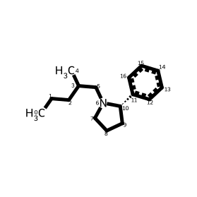 CCCC(C)CN1CCC[C@H]1c1ccccc1